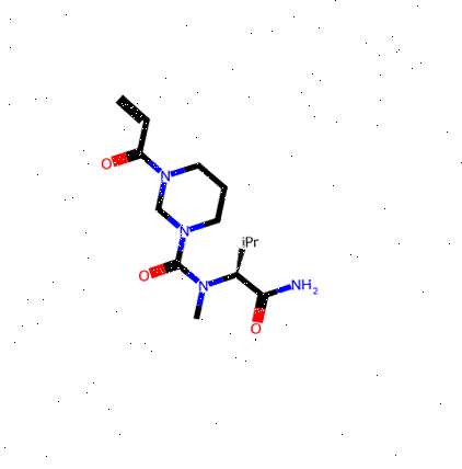 C=CC(=O)N1CCCN(C(=O)N(C)[C@H](C(N)=O)C(C)C)C1